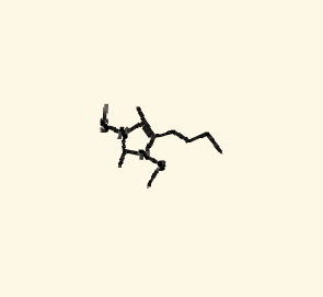 CCCCC1=C(C)N(SC)C(C)N1SC